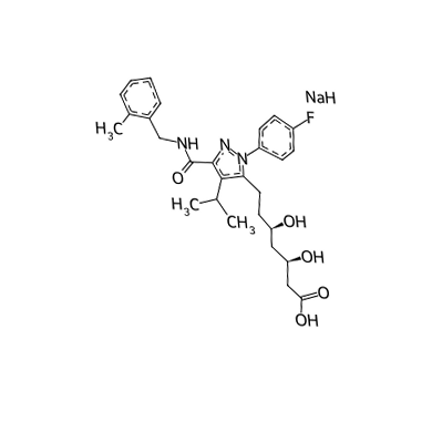 Cc1ccccc1CNC(=O)c1nn(-c2ccc(F)cc2)c(CC[C@@H](O)C[C@@H](O)CC(=O)O)c1C(C)C.[NaH]